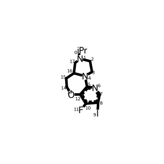 CC(C)N1CCN2c3ncc(I)c(F)c3OCCC2C1